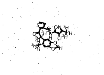 [2H]C1Oc2cc(C([2H])([2H])[2H])c(C([2H])([2H])C(=O)c3sccc3S(=O)(=O)Nc3onc(C([2H])([2H])[2H])c3Cl)cc2O1